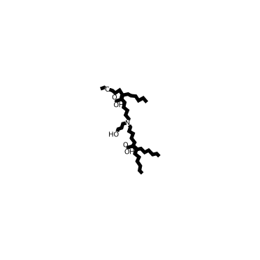 CCCCCCC(CCCCCC)=C(CCCCCN(CCCO)CCCCCC(C(=O)O)=C(CCCCCC)CCCCCC)C(=O)O